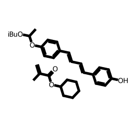 C=C(C)C(=O)OC1CCCCC1.CC(C)COC(C)Oc1ccc(C=CC=Cc2ccc(O)cc2)cc1